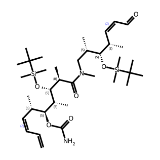 C=C/C=C\[C@H](C)[C@H](OC(N)=O)[C@@H](C)[C@H](O[Si](C)(C)C(C)(C)C)[C@@H](C)C(=O)N(C)C[C@H](C)[C@@H](O[Si](C)(C)C(C)(C)C)[C@@H](C)/C=C\C=O